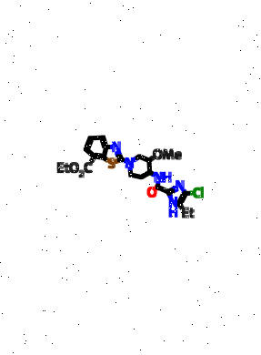 CCOC(=O)c1cccc2nc(N3CCC(NC(=O)c4nc(Cl)c(CC)[nH]4)C(OC)C3)sc12